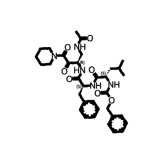 CC(=O)NC[C@@H](NC(=O)[C@H](Cc1ccccc1)NC(=O)[C@H](CC(C)C)NC(=O)OCc1ccccc1)C(=O)C(=O)N1CCCCC1